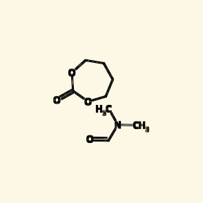 CN(C)C=O.O=C1OCCCCO1